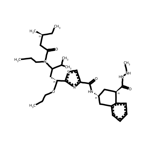 CCCO[C@H](CC(C(C)C)N(CCC)C(=O)C[C@@H](C)CC)c1nc(C(=O)N[C@H]2Cc3ccccc3[C@H](C(=O)NNC)C2)cs1